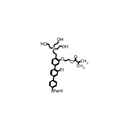 C=C(C)C(=O)OCCOc1cc(-c2ccc(-c3ccc(CCCCC)cc3)cc2CC)ccc1CC[Si](CCO)(CCO)CCO